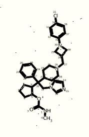 CNC(=O)OC1CCCC1C(Cn1ccnc1)(c1ccccc1)C1CCN(CC2CN(c3ccc(Cl)cc3)C2)CC1